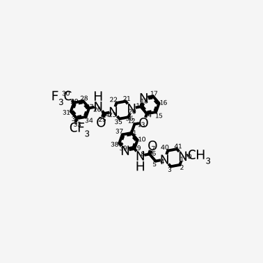 CN1CCN(CC(=O)Nc2cc(COc3cccnc3N3CCN(C(=O)Nc4cc(C(F)(F)F)cc(C(F)(F)F)c4)CC3)ccn2)CC1